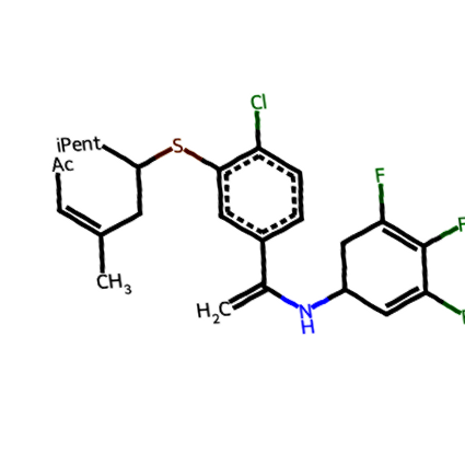 C=C(NC1C=C(F)C(F)=C(F)C1)c1ccc(Cl)c(SC(C/C(C)=C\C(C)=O)C(C)CCC)c1